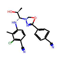 Cc1c(N[C@H]([C@H](C)O)N2COC(c3ccc(C#N)cc3)=N2)ccc(C#N)c1Cl